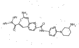 CCCN(CCC)C(=O)C1=Cc2ccc(C(=O)Nc3ccc(N4CCCC(N)C4)nc3)cc2N=C(N)C1